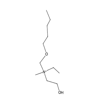 CCCCCOC[N+](C)(CC)CCO